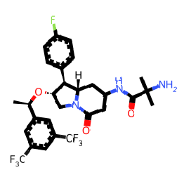 C[C@@H](O[C@H]1CN2C(=O)CC(NC(=O)C(C)(C)N)C[C@H]2[C@@H]1c1ccc(F)cc1)c1cc(C(F)(F)F)cc(C(F)(F)F)c1